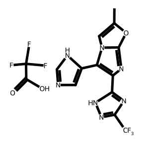 Cc1cn2c(-c3cnc[nH]3)c(-c3nc(C(F)(F)F)n[nH]3)nc2o1.O=C(O)C(F)(F)F